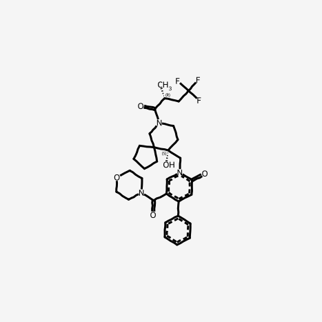 C[C@H](CC(F)(F)F)C(=O)N1CC[C@@](O)(Cn2cc(C(=O)N3CCOCC3)c(-c3ccccc3)cc2=O)C2(CCCC2)C1